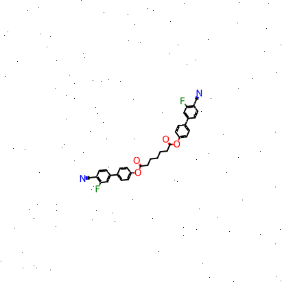 N#Cc1ccc(-c2ccc(OC(=O)CCCCCC(=O)Oc3ccc(-c4ccc(C#N)c(F)c4)cc3)cc2)cc1F